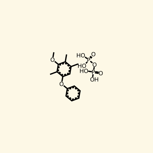 COc1c(C)c(C)cc(Oc2ccccc2)c1C.O=P(O)(O)OP(=O)(O)O